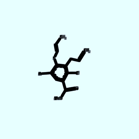 C=CCc1c(Cl)c(C(=O)OC)cc(Br)c1SC=CC